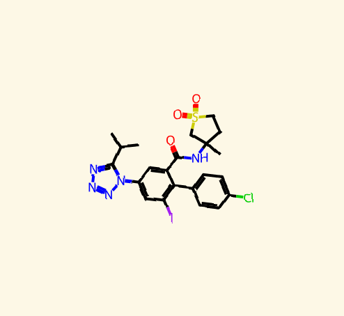 CC(C)c1nnnn1-c1cc(I)c(-c2ccc(Cl)cc2)c(C(=O)NC2(C)CCS(=O)(=O)C2)c1